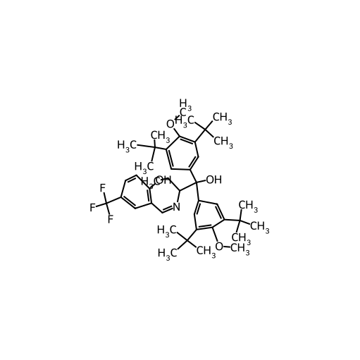 CCC(N=Cc1cc(C(F)(F)F)ccc1O)C(O)(c1cc(C(C)(C)C)c(OC)c(C(C)(C)C)c1)c1cc(C(C)(C)C)c(OC)c(C(C)(C)C)c1